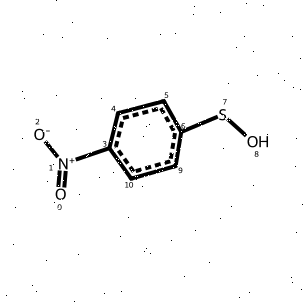 O=[N+]([O-])c1ccc(SO)cc1